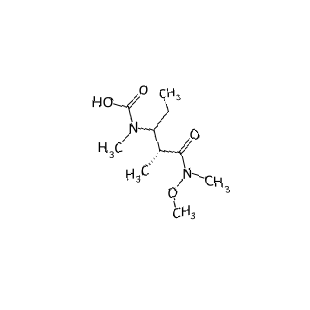 CCC([C@@H](C)C(=O)N(C)OC)N(C)C(=O)O